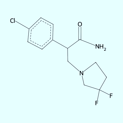 NC(=O)C(CN1CCC(F)(F)C1)c1ccc(Cl)cc1